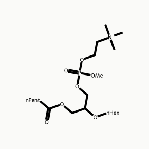 CCCCCCOC(COC(=O)CCCCC)COP(=O)(OC)OCC[N+](C)(C)C